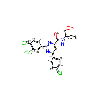 CC(CO)NC(=O)c1cc(-c2ccc(Cl)cc2)nc(-c2ccc(Cl)c(Cl)c2)n1